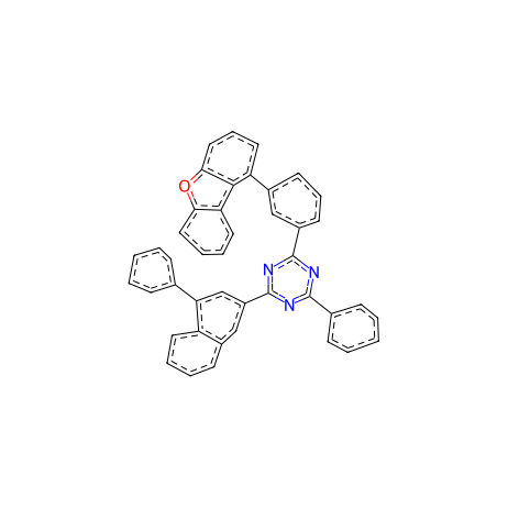 c1ccc(-c2nc(-c3cccc(-c4cccc5oc6ccccc6c45)c3)nc(-c3cc(-c4ccccc4)c4ccccc4c3)n2)cc1